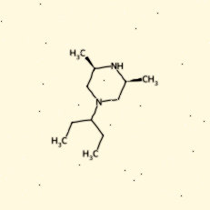 CCC(CC)N1C[C@@H](C)N[C@@H](C)C1